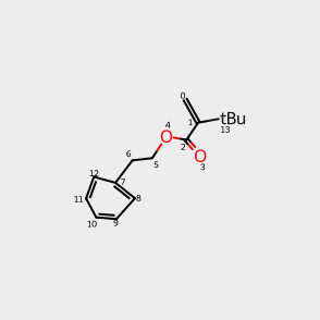 C=C(C(=O)OCCc1ccccc1)C(C)(C)C